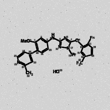 COc1cc(Nc2nc(Oc3cc(C(F)(F)F)ccc3F)n(C(C)C)n2)ccc1-c1ccnc(C)c1.Cl